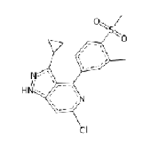 Cc1cc(-c2nc(Cl)cc3[nH]nc(C4CC4)c23)ccc1S(C)(=O)=O